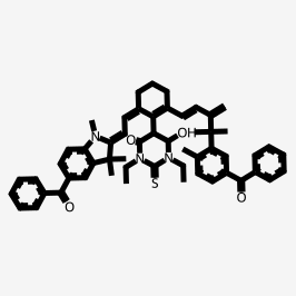 C=C(C=CC1=C(C2C(=O)N(CC)C(=S)N(CC)C2O)/C(=C\C=C2N(C)c3ccc(C(=O)c4ccccc4)cc3C2(C)C)CCC1)C(C)(C)c1cc(C(=O)c2ccccc2)ccc1C